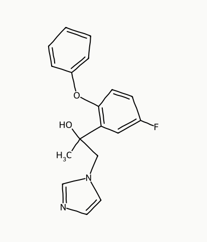 CC(O)(Cn1ccnc1)c1cc(F)ccc1Oc1ccccc1